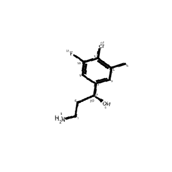 Cc1cc([C@@H](O)CCN)cc(F)c1Cl